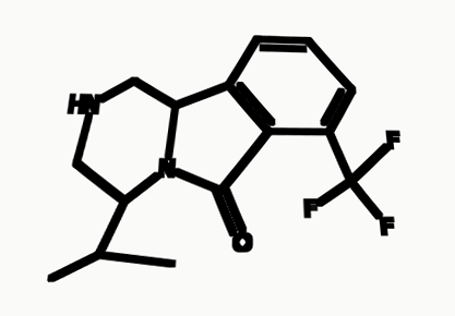 CC(C)C1CNCC2c3cccc(C(F)(F)F)c3C(=O)N21